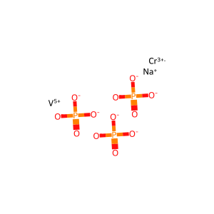 O=P([O-])([O-])[O-].O=P([O-])([O-])[O-].O=P([O-])([O-])[O-].[Cr+3].[Na+].[V+5]